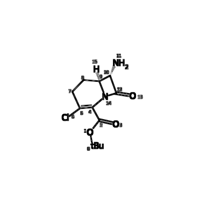 CC(C)(C)OC(=O)C1=C(Cl)CC[C@H]2[C@H](N)C(=O)N12